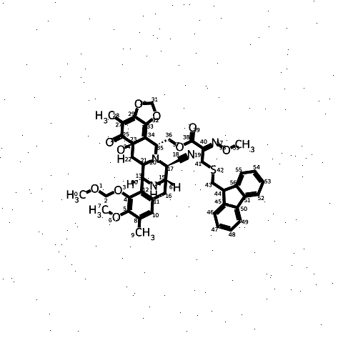 COCOc1c(OC)c(C)cc2c1[C@@H]1N[C@@H](C2)[C@H](C#N)N2C1C[C@]1(O)C(=O)C(C)=C3OCOC3=C1[C@@H]2COC(=O)/C(CSCC1c2ccccc2-c2ccccc21)=N/OC